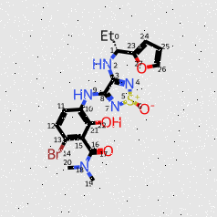 CC[C@@H](Nc1n[s+]([O-])nc1Nc1ccc(Br)c(C(=O)N(C)C)c1O)c1ccco1